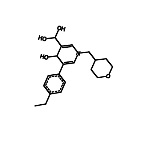 CCc1ccc(C2=CN(CC3CCOCC3)C=C(C(O)O)C2O)cc1